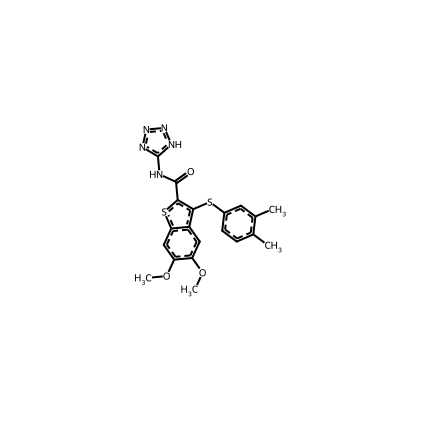 COc1cc2sc(C(=O)Nc3nnn[nH]3)c(Sc3ccc(C)c(C)c3)c2cc1OC